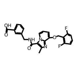 Cc1nc2c(OCc3c(F)cccc3F)cccn2c1C(=O)NCc1cccc(C(=O)O)c1